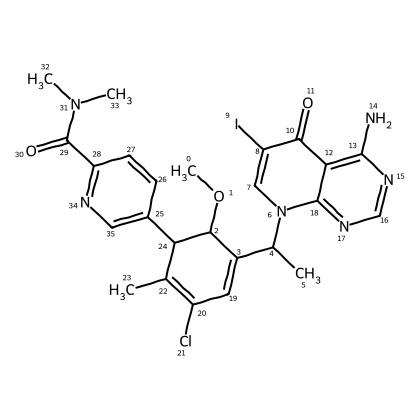 COC1C(C(C)n2cc(I)c(=O)c3c(N)ncnc32)=CC(Cl)=C(C)C1c1ccc(C(=O)N(C)C)nc1